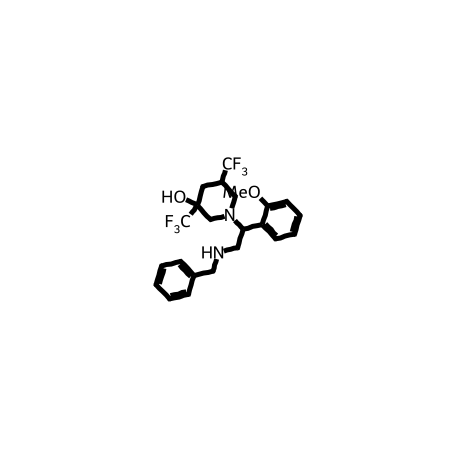 COc1ccccc1C(CNCc1ccccc1)N1CC(C(F)(F)F)CC(O)(C(F)(F)F)C1